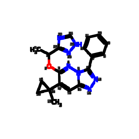 CC(Oc1nn2c(-c3ccccc3)nnc2cc1C1(C)CC1)c1nc[nH]n1